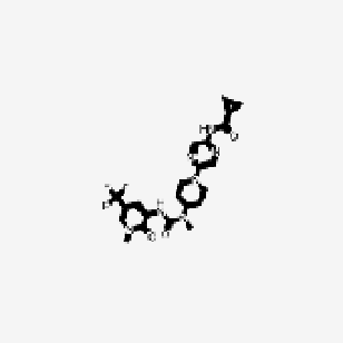 CN(C(=O)Nc1cc(C(F)(F)F)cn(C)c1=O)C1CCN(c2cnc(NC(=O)C3CC3)cn2)CC1